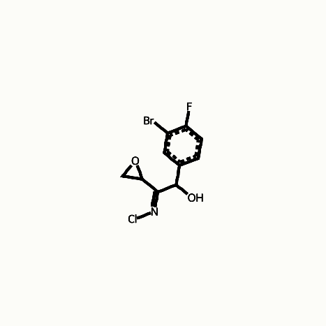 OC(/C(=N/Cl)C1CO1)c1ccc(F)c(Br)c1